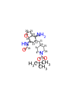 CC(C)(C)OC(=O)N1CCC(Cc2cc(NC=O)c3occc3c2N)CC1